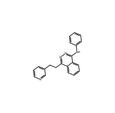 c1ccc(Nc2nnc(CCc3cccnc3)c3ccccc23)cc1